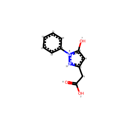 O=C(O)Cc1cc(O)n(-c2ccccc2)n1